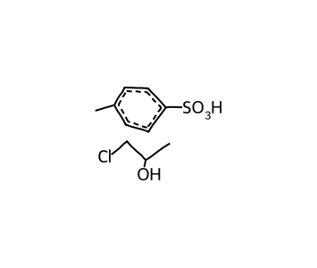 CC(O)CCl.Cc1ccc(S(=O)(=O)O)cc1